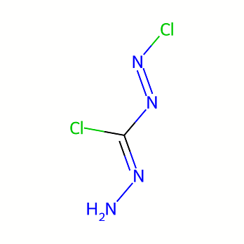 NN=C(Cl)N=NCl